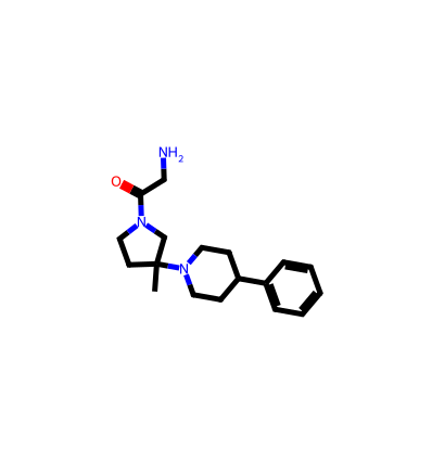 CC1(N2CCC(c3ccccc3)CC2)CCN(C(=O)CN)C1